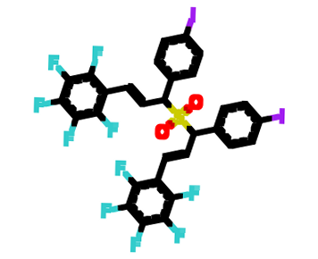 O=S(=O)(C(C=Cc1c(F)c(F)c(F)c(F)c1F)c1ccc(I)cc1)C(C=Cc1c(F)c(F)c(F)c(F)c1F)c1ccc(I)cc1